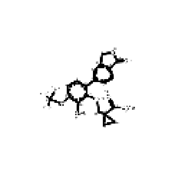 [2H]C([2H])([2H])Oc1ccc(-c2ccc3c(c2)COC3=O)c(OCC2(C(=O)OC)CC2)c1OC